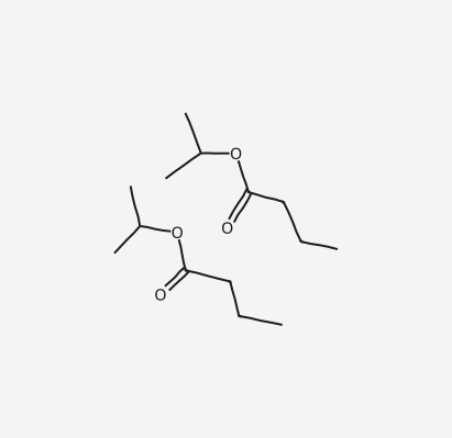 CCCC(=O)OC(C)C.CCCC(=O)OC(C)C